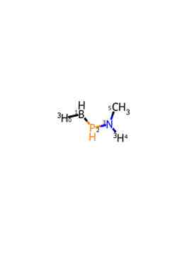 [3H]BPN([3H])C